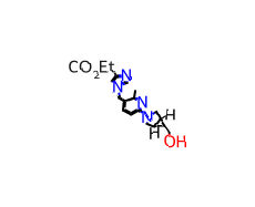 CCOC(=O)c1cn(Cc2ccc(N3C[C@@H]4C(CO)[C@@H]4C3)nc2C)cn1